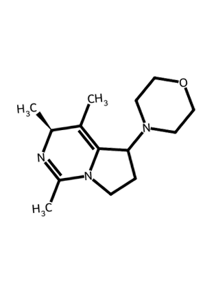 CC1=N[C@@H](C)C(C)=C2C(N3CCOCC3)CCN12